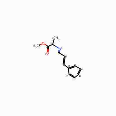 COC(=O)C(C)N=CC=Cc1ccccc1